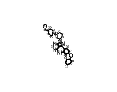 Nc1ncnc2c1c(-c1ccc(Oc3ccccc3)cc1)nn2[C@@H]1CCCN(N2CCC(C=O)CC2)C1